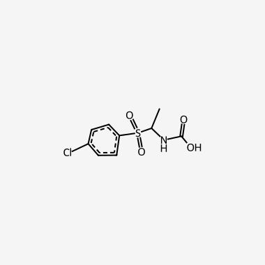 CC(NC(=O)O)S(=O)(=O)c1ccc(Cl)cc1